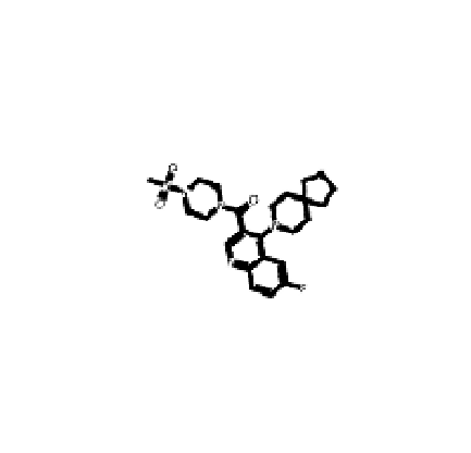 CS(=O)(=O)N1CCN(C(=O)c2cnc3ccc(F)cc3c2N2CCC3(CCCC3)CC2)CC1